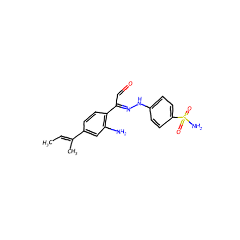 C/C=C(\C)c1ccc(/C(C=O)=N/Nc2ccc(S(N)(=O)=O)cc2)c(N)c1